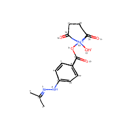 CC(C)=NNc1ccc(C(=O)O[N+]2(O)C(=O)CCC2=O)cc1